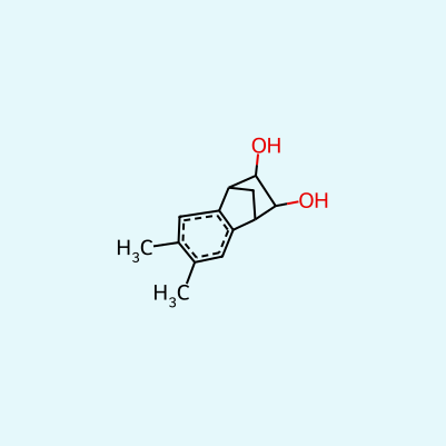 Cc1cc2c(cc1C)C1CC2C(O)C1O